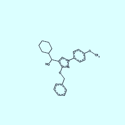 OC(c1cn(-c2ccc(OC(F)(F)F)cc2)nc1OCc1ccccc1)C1CCCCC1